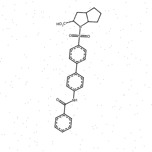 O=C(Nc1ccc(-c2ccc(S(=O)(=O)N3C(C(=O)O)CC4CCCC43)cc2)cc1)c1ccccc1